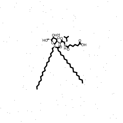 CCCCCCCCCCCCCCCCCCN(C(=O)CCCCCCCCCCCCCCCCC)[C@@H]1O[C@H](CO)[C@@H](O)[C@H](O)[C@H]1NC(=O)[C@H](CC(C)C)NC(=O)CCCCC(=O)O